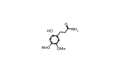 COc1ccc(CCC(N)=O)cc1OC.Cl